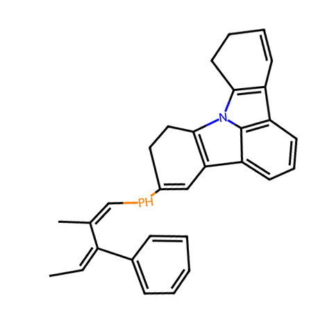 C/C=C(\C(C)=C/PC1=Cc2c(n3c4c(c5cccc2c53)C=CCC4)CC1)c1ccccc1